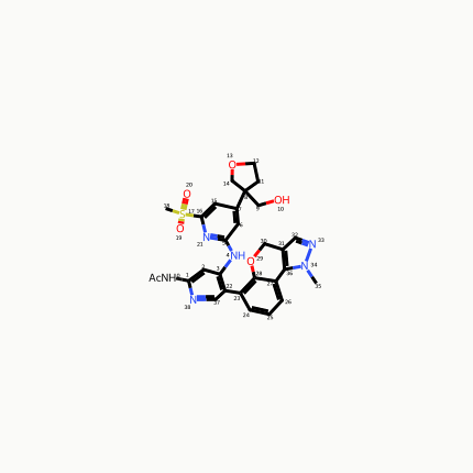 CC(=O)Nc1cc(Nc2cc(C3(CO)CCOC3)cc(S(C)(=O)=O)n2)c(-c2cccc3c2OCc2cnn(C)c2-3)cn1